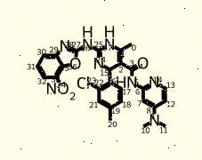 CC1=C(C(=O)Nc2cc(N(C)C)ccn2)C(c2ccc(C)cc2Cl)N=C(Nc2nc3cccc([N+](=O)[O-])c3o2)N1